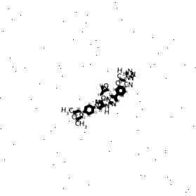 CC(Cn1cnnn1)Oc1cc(-c2cnc(Nc3cn(C4CCC(N5C[C@@H](C)O[C@@H](C)C5)CC4)nc3OCC3COC3)nc2)ccc1C#N